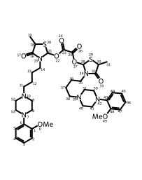 COc1ccccc1N1CCN(CCCCN2C(=O)C(C)SC2OC(=O)C(=O)OC2SC(C)C(=O)N2CCCCN2CCN(c3ccccc3OC)CC2)CC1